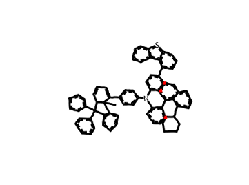 CC12C(c3ccc(N(c4ccc(-c5cccc6sc7ccccc7c56)cc4)c4ccccc4-c4cccc5cccc(C6CCCCC6)c45)cc3)=CC=CC1C(c1ccccc1)(c1ccccc1)c1ccccc12